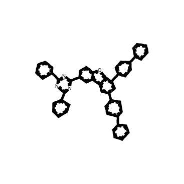 c1ccc(-c2ccc(-c3cc(-c4ccc(-c5ccccc5)cc4)c4oc5ccc(-c6nc(-c7ccccc7)nc(-c7ccccc7)n6)cc5c4c3)cc2)cc1